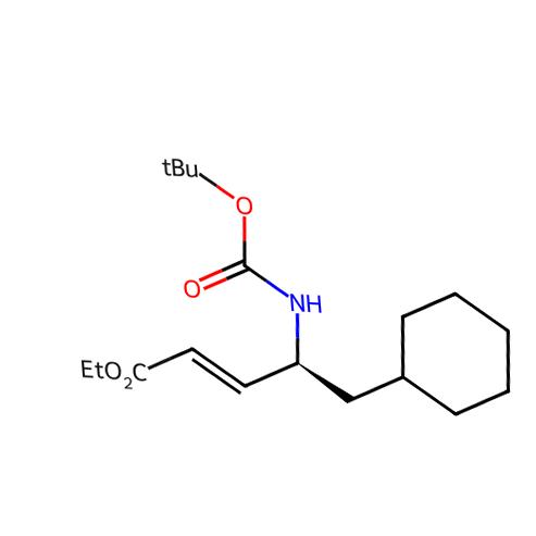 CCOC(=O)C=C[C@H](CC1CCCCC1)NC(=O)OC(C)(C)C